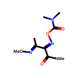 CNC(=O)C(=NOC(=O)N(C)C)C(C)=NOC